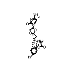 COC(=O)[C@H](C)NP(=O)(OC[C@H]1OC[C@@H](n2ccc(N)nc2=O)O1)Oc1ccc(Br)cc1